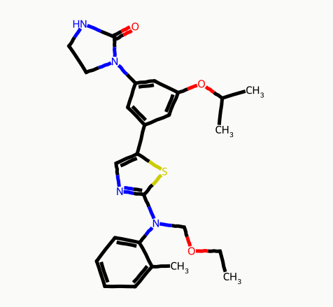 CCOCN(c1ncc(-c2cc(OC(C)C)cc(N3CCNC3=O)c2)s1)c1ccccc1C